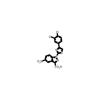 O=C(O)c1nn(-c2nc(-c3ccc(Cl)c(Cl)c3)cs2)c2ccc([N+](=O)[O-])cc12